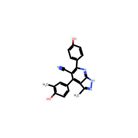 Cc1cc(-c2c(C#N)c(-c3ccc(O)cc3)nc3[nH]nc(C)c23)ccc1O